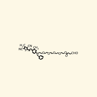 Cc1cc(N(CCOCCOCCOCCOCCOC(=O)CCC=O)Cc2ccccc2)ccc1/N=N/c1sc(C#N)c(C)c1C#N